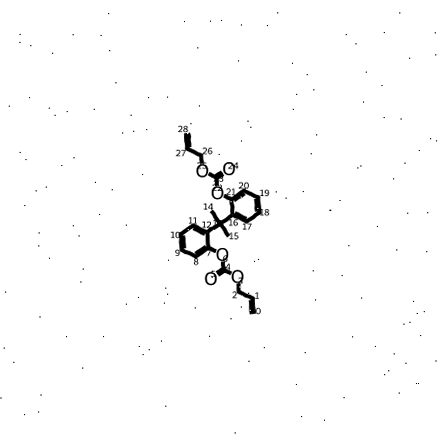 C=CCOC(=O)Oc1ccccc1C(C)(C)c1ccccc1OC(=O)OCC=C